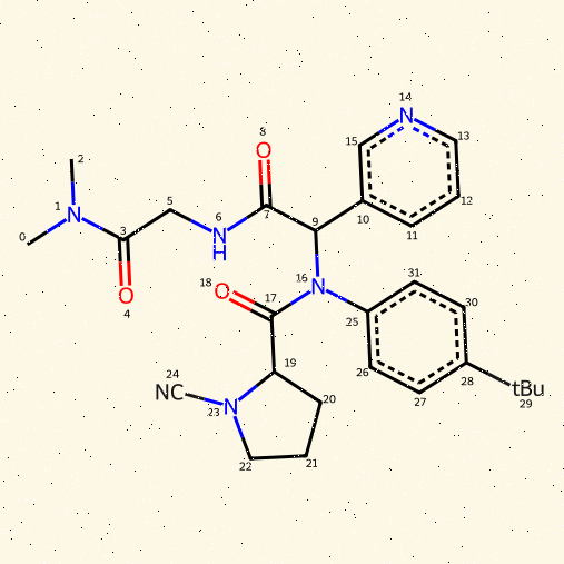 CN(C)C(=O)CNC(=O)C(c1cccnc1)N(C(=O)C1CCCN1C#N)c1ccc(C(C)(C)C)cc1